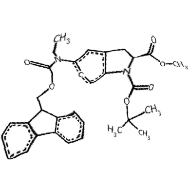 COC(=O)[C@@H]1Cc2cc(N(C)C(=O)OCC3c4ccccc4-c4ccccc43)ccc2N1C(=O)OC(C)(C)C